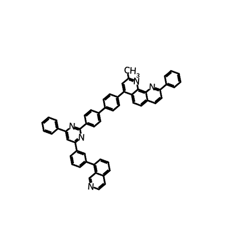 Cc1cc(-c2ccc(-c3ccc(-c4nc(-c5ccccc5)cc(-c5cccc(-c6cccc7ccncc67)c5)n4)cc3)cc2)c2ccc3ccc(-c4ccccc4)nc3c2n1